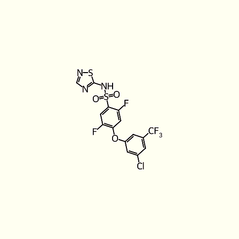 O=S(=O)(Nc1ncns1)c1cc(F)c(Oc2cc(Cl)cc(C(F)(F)F)c2)cc1F